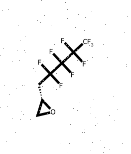 FC(F)(F)C(F)(F)C(F)(F)C(F)(F)C[C@H]1CO1